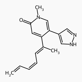 C=C/C=C\C=C(/C)c1cc(=O)n(C)cc1-c1cn[nH]c1